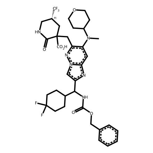 CN(c1cc2nc(C(NC(=O)OCc3ccccc3)C3CCC(F)(F)CC3)cn2nc1CC1(C(=O)O)C[C@@H](C(F)(F)F)CNC1=O)C1CCOCC1